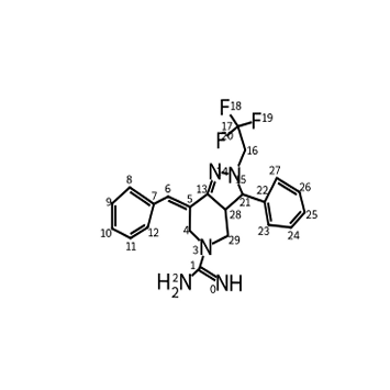 N=C(N)N1C/C(=C\c2ccccc2)C2=NN(CC(F)(F)F)C(c3ccccc3)C2C1